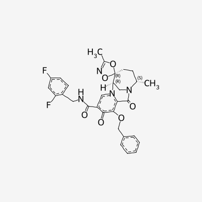 CC1=NO[C@@]2(CC[C@H](C)N3C[C@H]2n2cc(C(=O)NCc4ccc(F)cc4F)c(=O)c(OCc4ccccc4)c2C3=O)O1